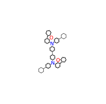 c1ccc2c(c1)oc1c(N(c3ccc(-c4ccc(N(c5ccc(C6CCCCC6)cc5)c5cccc6c5oc5ccccc56)cc4)cc3)c3ccc(C4CCCCC4)cc3)cccc12